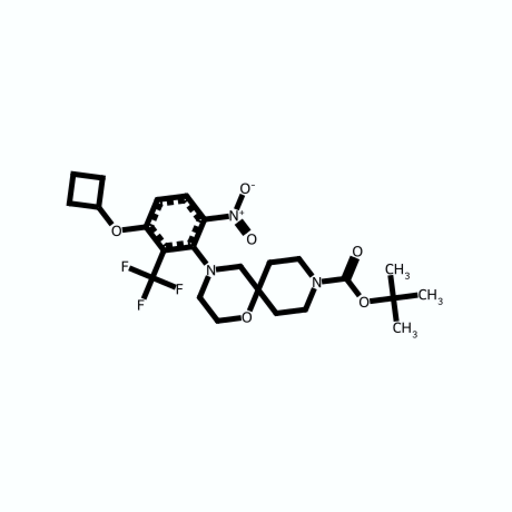 CC(C)(C)OC(=O)N1CCC2(CC1)CN(c1c([N+](=O)[O-])ccc(OC3CCC3)c1C(F)(F)F)CCO2